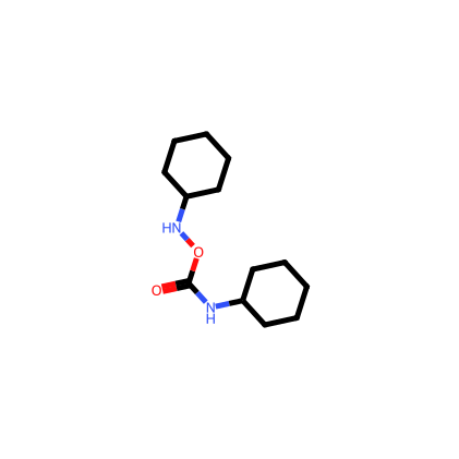 O=C(NC1CCCCC1)ONC1CCCCC1